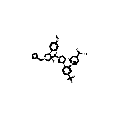 COC[C@H]1CN(C(=O)[C@]2(F)CN(CC3CCC3)C[C@H]2c2ccc(OC)cc2)C[C@@H]1c1ccc(C(F)(F)F)cc1N1CCC(C(=O)O)CC1